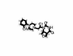 CCC(CN1CCN(c2ccccc2OC)CC1)n1c(=O)[nH]c(=O)c2cocc21